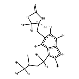 [2H]c1[nH]c2c([2H])c([2H])c(C[C@]3([2H])NC(=O)OC3([2H])[2H])c([2H])c2c1C([2H])([2H])CN(C)C([2H])([2H])[2H]